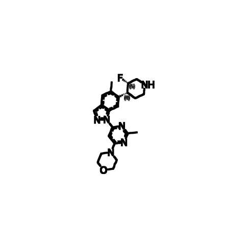 Cc1nc(N2CCOCC2)cc(-n2ncc3cc(C)c([C@H]4CCNC[C@H]4F)cc32)n1